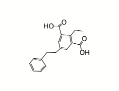 CCc1c(C(=O)O)cc(CCc2ccccc2)cc1C(=O)O